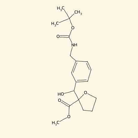 COC(=O)C1(C(O)c2cccc(CNC(=O)OC(C)(C)C)c2)CCCO1